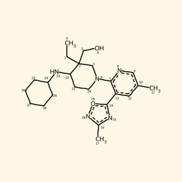 CCC1(CO)CN(c2ncc(C)cc2-c2nc(C)no2)CCC1NC1CCCCC1